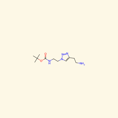 CC(C)(C)OC(=O)NCCn1cc(CCN)nn1